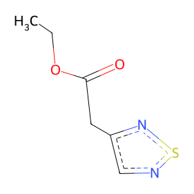 CCOC(=O)Cc1cnsn1